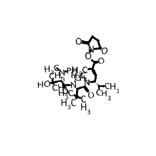 C/C(=C\[C@H](C(C)C)N(C)C(=O)[C@@H](N(C)C(=O)[C@@H](N(C)P)C(C)(C)O)C(C)(C)C)C(=O)ON1C(=O)CCC1=O